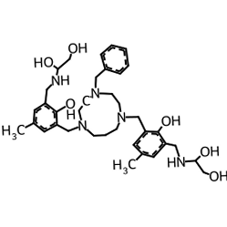 Cc1cc(CNC(O)CO)c(O)c(CN2CCCN(Cc3cc(C)cc(CNC(O)CO)c3O)CCN(Cc3ccccc3)CC2)c1